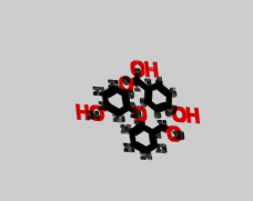 O=C(O)c1ccc(O)cc1.O=Cc1ccccc1Oc1cccc(O)c1